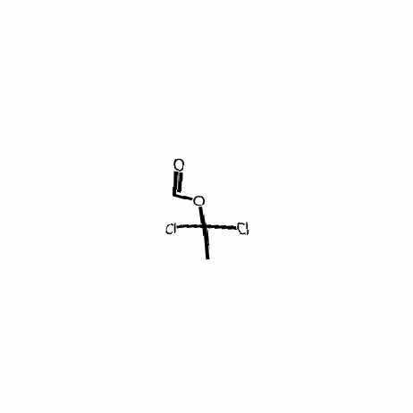 CC(Cl)(Cl)OC=O